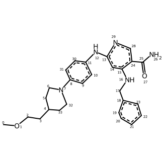 COCCC1CCN(c2ccc(Nc3cc(NCc4ccccc4)c(C(N)=O)cn3)cc2)CC1